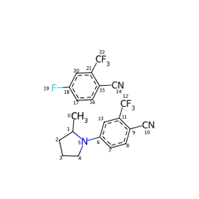 CC1CCCN1c1ccc(C#N)c(C(F)(F)F)c1.N#Cc1ccc(F)cc1C(F)(F)F